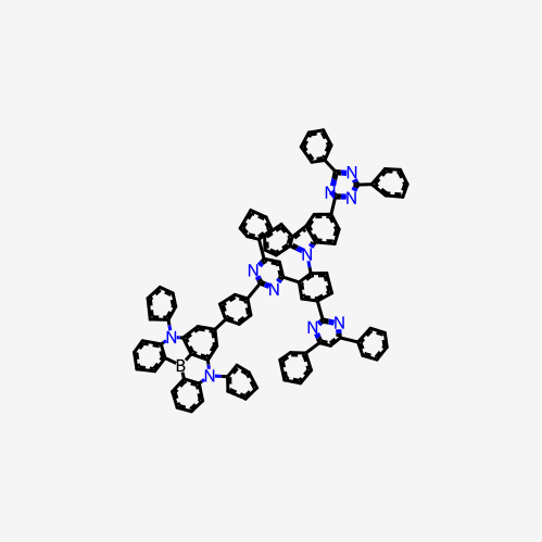 c1ccc(-c2cc(-c3ccccc3)nc(-c3ccc(-n4c5ccccc5c5cc(-c6nc(-c7ccccc7)nc(-c7ccccc7)n6)ccc54)c(-c4cc(-c5ccccc5)nc(-c5ccc(-c6cc7c8c(c6)N(c6ccccc6)c6ccccc6B8c6ccccc6N7c6ccccc6)cc5)n4)c3)n2)cc1